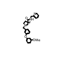 COc1cccc(Oc2cccc(CN3CCC(F)(C(=O)NCc4ccccn4)C3)c2)c1